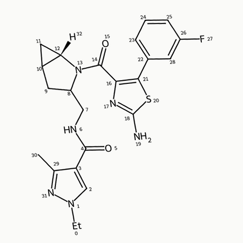 CCn1cc(C(=O)NCC2CC3C[C@@H]3N2C(=O)c2nc(N)sc2-c2cccc(F)c2)c(C)n1